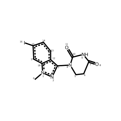 Cn1nc(N2CCC(=O)NC2=O)c2ccc(I)cc21